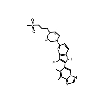 Cc1c(-c2[nH]c3ccc(N4C[C@@H](C)N(CCCS(C)(=O)=O)[C@@H](C)C4)nc3c2C(C)C)cn2ncnc2c1C